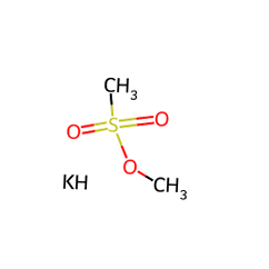 COS(C)(=O)=O.[KH]